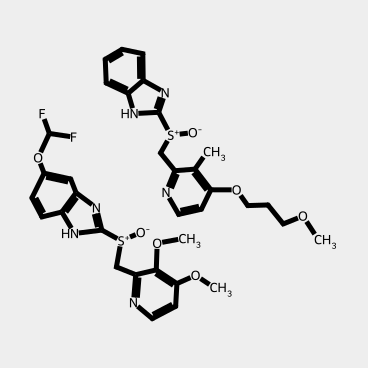 COCCCOc1ccnc(C[S+]([O-])c2nc3ccccc3[nH]2)c1C.COc1ccnc(C[S+]([O-])c2nc3cc(OC(F)F)ccc3[nH]2)c1OC